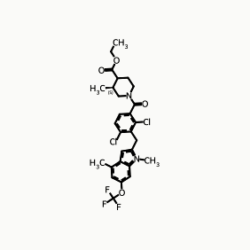 CCOC(=O)C1CCN(C(=O)c2ccc(Cl)c(Cc3cc4c(C)cc(OC(F)(F)F)cc4n3C)c2Cl)C[C@H]1C